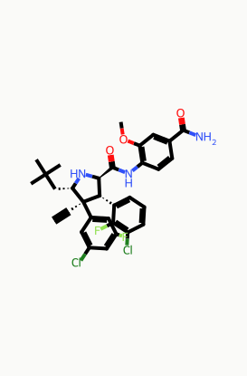 C#C[C@]1(c2cc(F)cc(Cl)c2)[C@H](CC(C)(C)C)N[C@@H](C(=O)Nc2ccc(C(N)=O)cc2OC)[C@@H]1c1cccc(Cl)c1F